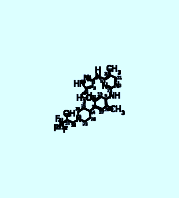 Cc1cc(Nc2nc(Nc3cc(C)c(C4CCN(CC(O)C(F)(F)F)CC4)cc3C)ncc2C)n[nH]1